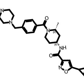 C[C@@H]1C[C@H](NC(=O)c2cc(C3CC3)on2)CCN1C(=O)c1ccc(CN2CCNCC2)cc1